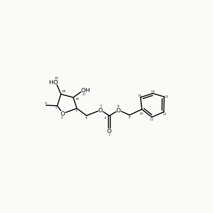 CC1OC(COC(=O)OCc2ccccc2)C(O)C1O